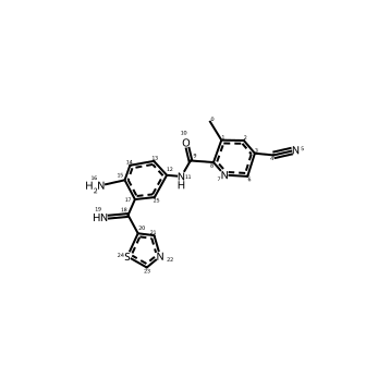 Cc1cc(C#N)cnc1C(=O)Nc1ccc(N)c(C(=N)c2cncs2)c1